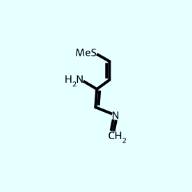 C=N/C=C(N)\C=C/SC